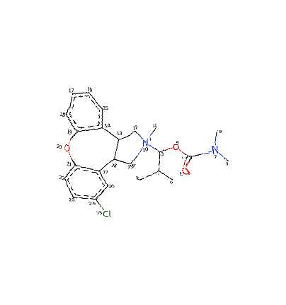 CC(C)C(OC(=O)N(C)C)[N+]1(C)CC2c3ccccc3Oc3ccc(Cl)cc3C2C1